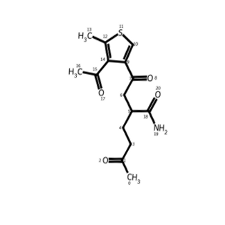 CC(=O)CCC(CC(=O)c1csc(C)c1C(C)=O)C(N)=O